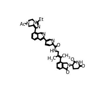 CCc1nc(-c2cccc3cc(-c4ccc(C(=O)NC/C(C)=C(\C)c5cccc6c5CN(C5CCC(=O)NC5=O)C6=O)nc4)ncc23)c2n1CCN(C(C)=O)C2